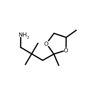 CC1COC(C)(CC(C)(C)CN)O1